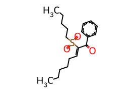 CCCCCC=C(C(=O)c1ccccc1)S(=O)(=O)CCCCC